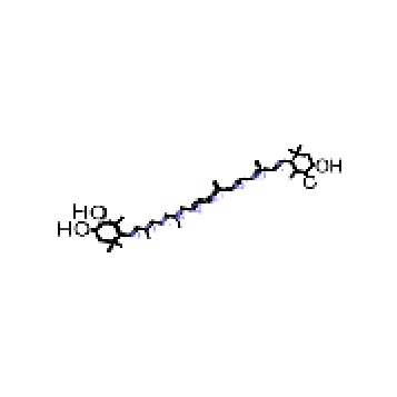 CC1=C(/C=C/C(C)=C/C=C/C(C)=C/C=C/C=C(C)/C=C/C=C(C)/C=C/C2=C(C)[C@@H](O)C(O)CC2(C)C)C(C)(C)CC(O)C1=O